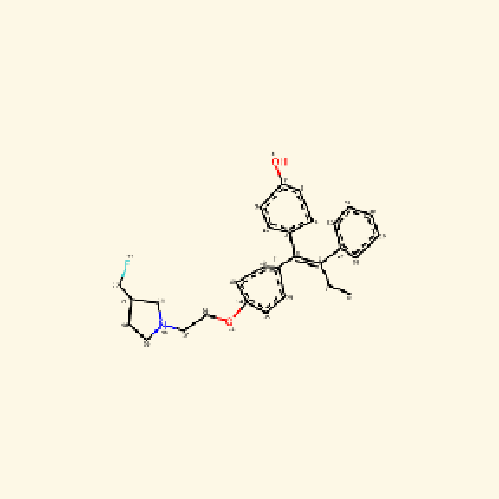 CCC(=C(c1ccc(O)cc1)c1ccc(OCCN2CCC(CF)C2)cc1)c1ccccc1